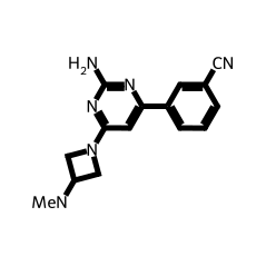 CNC1CN(c2cc(-c3cccc(C#N)c3)nc(N)n2)C1